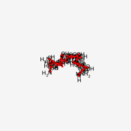 CC(C)C[C@H](NC(=O)[C@H](Cc1ccc(O)cc1)NC(=O)[C@H](CO)NC(=O)[C@H](CO)NC(=O)[C@@H](NC(=O)[C@H](CC(=O)O)NC(=O)[C@H](CO)NC(=O)[C@@H](NC(=O)[C@H](Cc1ccccc1)NC(=O)[C@@H](NC(=O)CNC(=O)[C@H](CCC(=O)O)NC(=O)C(C)(C)NC(=O)[C@@H](N)Cc1c[nH]cn1)[C@@H](C)O)[C@@H](C)O)C(C)C)C(=O)N[C@@H](CCC(=O)O)C(=O)NCC(=O)N[C@@H](CCC(N)=O)C(=O)N[C@@H](C)C(=O)N[C@@H](CCCCN)C(=O)O